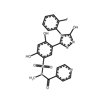 CN(C(=O)c1ccncc1)S(=O)(=O)c1cc(-c2nnc(O)n2-c2ccccc2F)c(O)cc1O